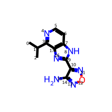 CC(C)c1nccc2[nH]c(-c3nonc3N)nc12